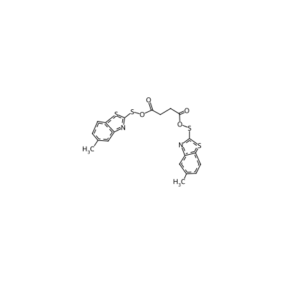 Cc1ccc2sc(SOC(=O)CCC(=O)OSc3nc4cc(C)ccc4s3)nc2c1